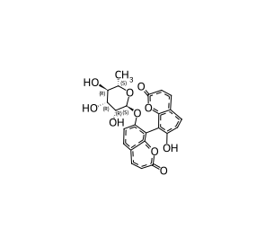 C[C@@H]1O[C@@H](Oc2ccc3ccc(=O)oc3c2-c2c(O)ccc3ccc(=O)oc23)[C@H](O)[C@H](O)[C@H]1O